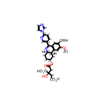 CCOc1cc2c(cc1OC)C(c1ccc(-n3ccnc3)nc1)=N[C@@H]1CC[C@@H](OC(=O)CC(O)(CC(=O)O)C(=O)O)C[C@H]21